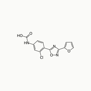 O=C(O)Nc1ccc(-c2nc(-c3ccco3)no2)c(Cl)c1